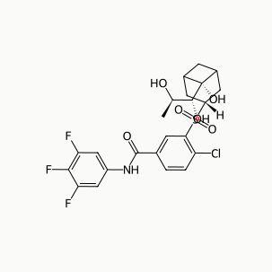 C[C@@H](O)[C@@H](O)[C@]1(O)C2CC1C[C@@H](S(=O)(=O)c1cc(C(=O)Nc3cc(F)c(F)c(F)c3)ccc1Cl)C2